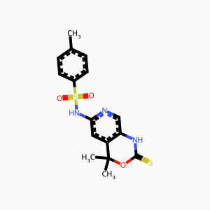 Cc1ccc(S(=O)(=O)Nc2cc3c(cn2)NC(=S)OC3(C)C)cc1